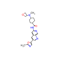 Cc1ncc(-c2cnc3cnc(NC(=O)C4CCC(N(C)C5COC5)CC4)cc3c2)o1